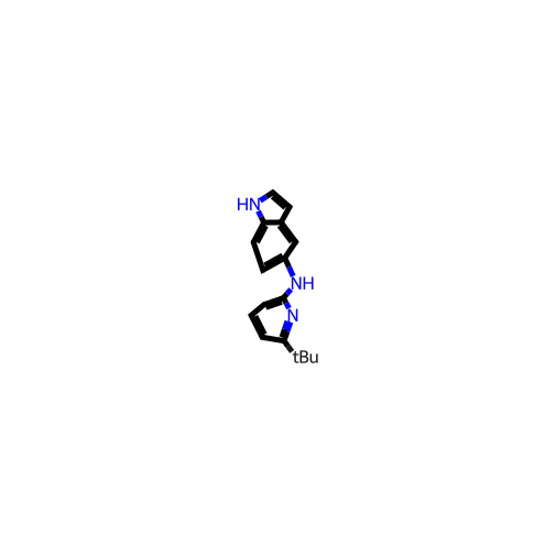 CC(C)(C)c1cccc(Nc2ccc3[nH]ccc3c2)n1